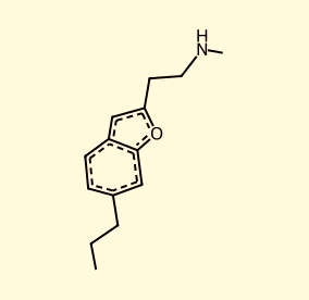 CCCc1ccc2cc(CCNC)oc2c1